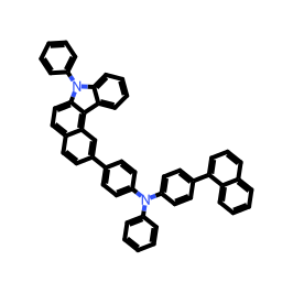 c1ccc(N(c2ccc(-c3ccc4ccc5c(c4c3)c3ccccc3n5-c3ccccc3)cc2)c2ccc(-c3cccc4ccccc34)cc2)cc1